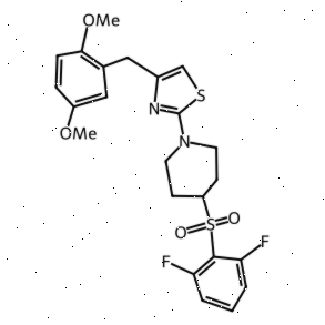 COc1ccc(OC)c(Cc2csc(N3CCC(S(=O)(=O)c4c(F)cccc4F)CC3)n2)c1